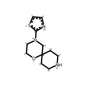 c1csc(N2CCOC3(CCNCC3)C2)n1